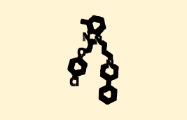 Cc1cccc2c1nc(COc1ccc(Cl)cc1)n2CCCN1CC=C(c2ccccc2)CC1